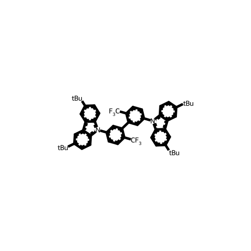 CC(C)(C)c1ccc2c(c1)c1cc(C(C)(C)C)ccc1n2-c1ccc(C(F)(F)F)c(-c2cc(-n3c4ccc(C(C)(C)C)cc4c4cc(C(C)(C)C)ccc43)ccc2C(F)(F)F)c1